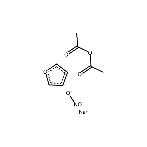 CC(=O)OC(C)=O.O=N[O-].[Na+].c1ccoc1